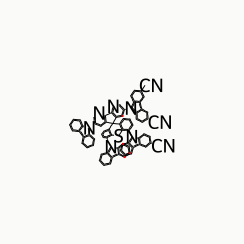 N#Cc1ccc2c(c1)c1cc(C#N)ccc1n2-c1cnc2c(c1)C1(c3cc(-n4c5ccccc5c5ccccc54)cnc3-2)c2cccc(-n3c4ccccc4c4ccccc43)c2Sc2c(-n3c4ccccc4c4cc(C#N)ccc43)cccc21